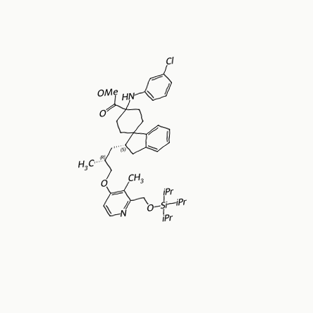 COC(=O)C1(Nc2cccc(Cl)c2)CCC2(CC1)c1ccccc1C[C@@H]2C[C@@H](C)COc1ccnc(CO[Si](C(C)C)(C(C)C)C(C)C)c1C